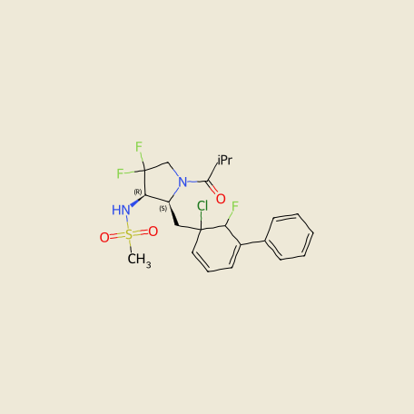 CC(C)C(=O)N1CC(F)(F)[C@H](NS(C)(=O)=O)[C@@H]1CC1(Cl)C=CC=C(c2ccccc2)C1F